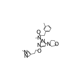 Cc1cccc(CC(=O)N(C)c2nc(OCCc3cnn(C)c3)cc(N3CCOCC3)n2)c1